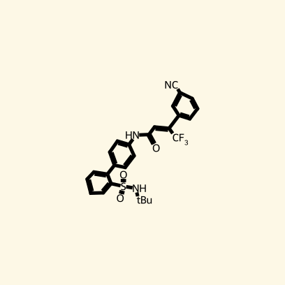 CC(C)(C)NS(=O)(=O)c1ccccc1-c1ccc(NC(=O)/C=C(/c2cccc(C#N)c2)C(F)(F)F)cc1